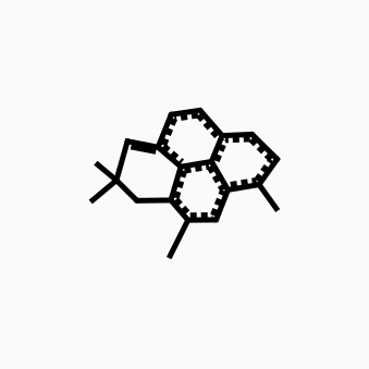 Cc1cc2c(C)ccc3ccc4c(c1CC(C)(C)C=4)c32